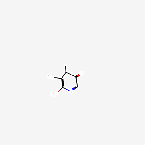 CC1C(=O)C=NC(O)=C1C#N